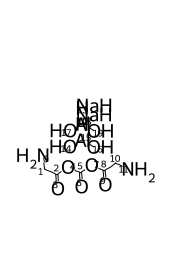 NCC(=O)OC(=O)OC(=O)CN.[NaH].[NaH].[OH][AlH][OH].[OH][AlH][OH]